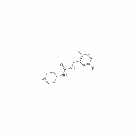 Cc1ccc(F)cc1CNC(=O)NC1CCN(C)CC1